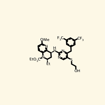 CCOC(=O)N1c2ccc(OC)nc2[C@@H](Nc2ncc(SCCO)c(Cc3cc(C(F)(F)F)cc(C(F)(F)F)c3)n2)C[C@H]1CC